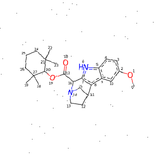 COc1ccc2[nH]c3c(c2c1)C1CCN(C1)C3C(=O)OC1C(C)(C)CCCC1(C)C